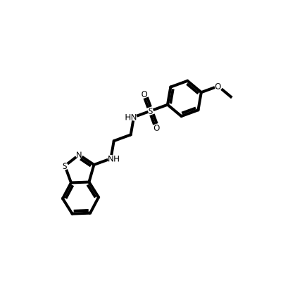 COc1ccc(S(=O)(=O)NCCNc2nsc3ccccc23)cc1